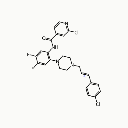 O=C(Nc1cc(F)c(F)cc1N1CCN(C/C=C/c2ccc(Cl)cc2)CC1)c1ccnc(Cl)c1